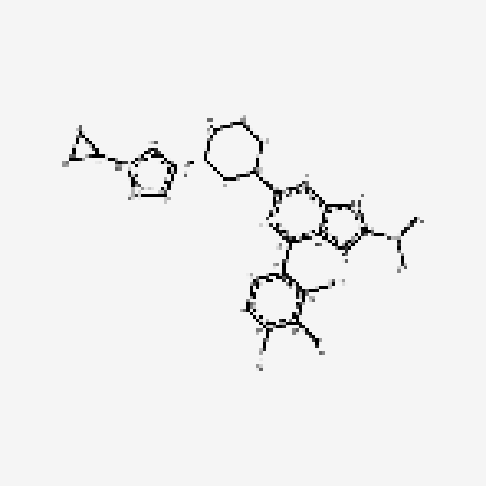 CN(C)c1nc2nc(C3CCO[C@@H](c4cnn(C5CC5)c4)C3)nc(-c3ccc(F)c(F)c3F)c2s1